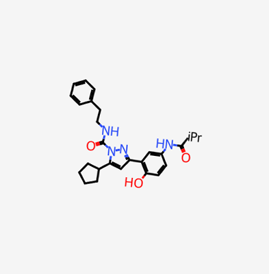 CC(C)C(=O)Nc1ccc(O)c(-c2cc(C3CCCC3)n(C(=O)NCCc3ccccc3)n2)c1